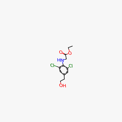 CCOC(=O)CNc1c(Cl)cc(CCO)cc1Cl